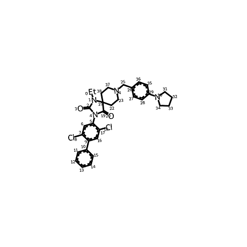 CCN1C(=O)N(c2cc(Cl)c(-c3ccccc3)cc2Cl)C(=O)C12CCN(Cc1ccc(N3CCCC3)cc1)CC2